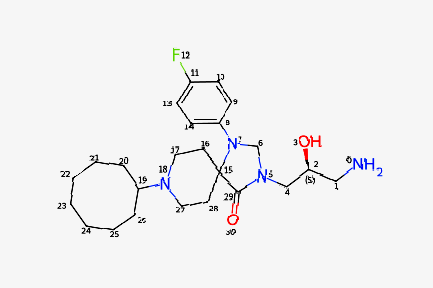 NC[C@H](O)CN1CN(c2ccc(F)cc2)C2(CCN(C3CCCCCCC3)CC2)C1=O